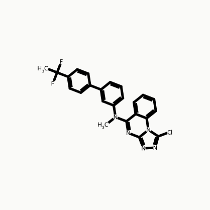 CN(c1cccc(-c2ccc(C(C)(F)F)cc2)c1)c1nc2nnc(Cl)n2c2ccccc12